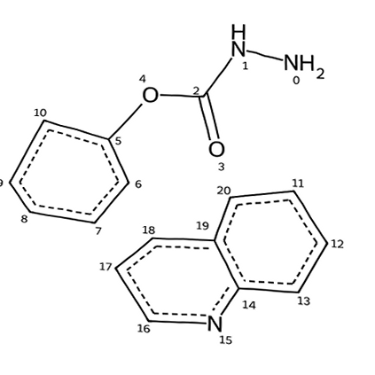 NNC(=O)Oc1ccccc1.c1ccc2ncccc2c1